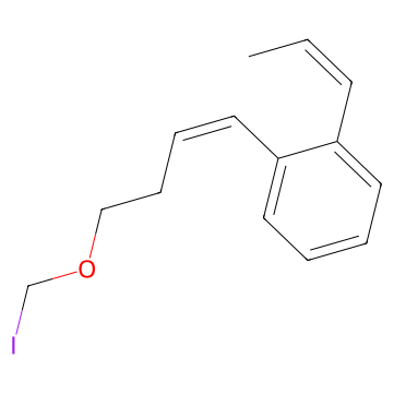 C/C=C\c1ccccc1/C=C\CCOCI